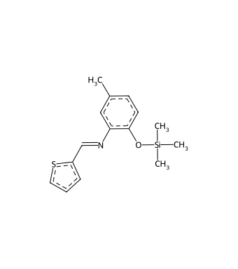 Cc1ccc(O[Si](C)(C)C)c(N=Cc2cccs2)c1